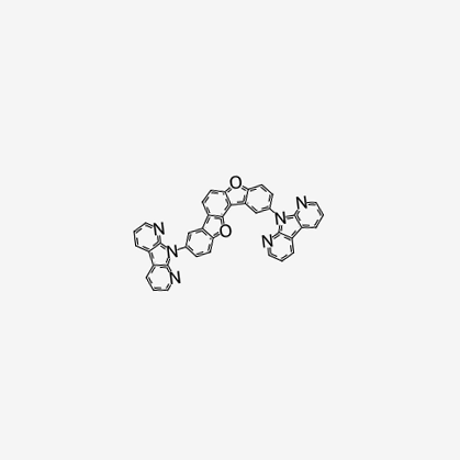 c1cnc2c(c1)c1cccnc1n2-c1ccc2oc3c(ccc4oc5ccc(-n6c7ncccc7c7cccnc76)cc5c43)c2c1